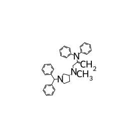 C=C(CN(C)[C@@H]1CCN(C(c2ccccc2)c2ccccc2)C1)N(c1ccccc1)c1ccccc1